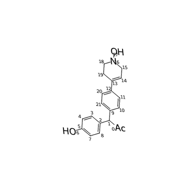 CC(=O)C(c1ccc(O)cc1)c1ccc(C2=CCN(O)CC2)cc1